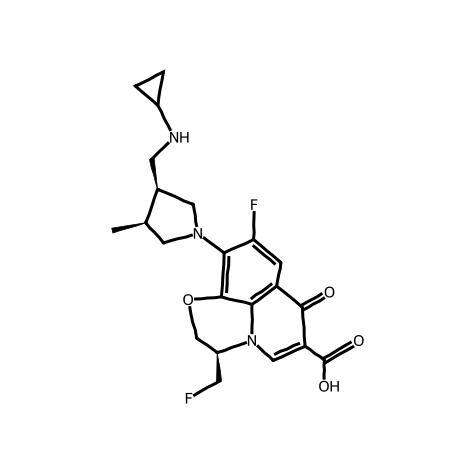 C[C@@H]1CN(c2c(F)cc3c(=O)c(C(=O)O)cn4c3c2OC[C@@H]4CF)C[C@@H]1CNC1CC1